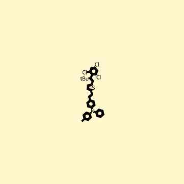 Cc1ccc(N(c2ccccc2)c2ccc(C=Cc3ccc(C=C(c4c(Cl)cc(Cl)cc4Cl)C(C)(C)C)s3)cc2)cc1